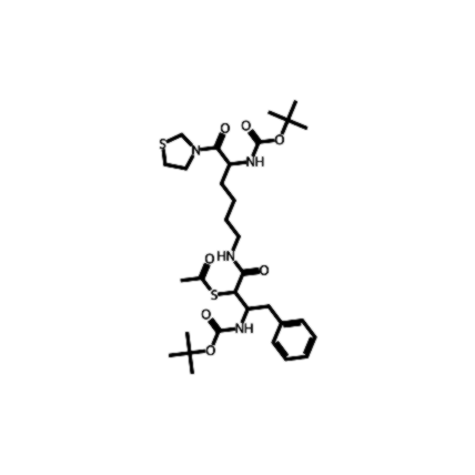 CC(=O)SC(C(=O)NCCCCC(NC(=O)OC(C)(C)C)C(=O)N1CCSC1)C(Cc1ccccc1)NC(=O)OC(C)(C)C